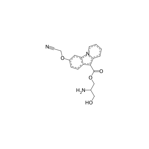 N#CCOc1ccc2c(C(=O)OCC(N)CO)c3ccccn3c2c1